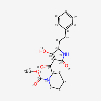 CC(C)(C)OC(=O)N1CCCCC1C(=O)C1=C(O)C(CCc2ccccc2)NC1=O